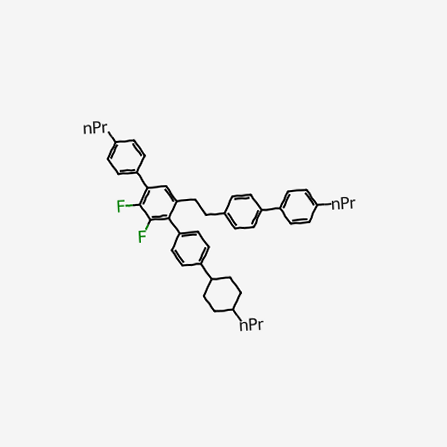 CCCc1ccc(-c2ccc(CCc3cc(-c4ccc(CCC)cc4)c(F)c(F)c3-c3ccc(C4CCC(CCC)CC4)cc3)cc2)cc1